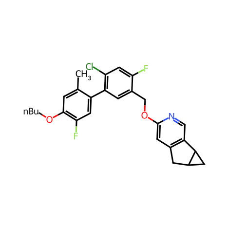 CCCCOc1cc(C)c(-c2cc(COc3cc4c(cn3)C3CC3C4)c(F)cc2Cl)cc1F